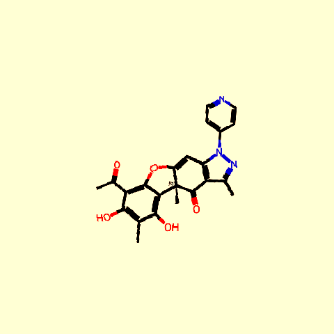 CC(=O)c1c(O)c(C)c(O)c2c1OC1=Cc3c(c(C)nn3-c3ccncc3)C(=O)[C@@]12C